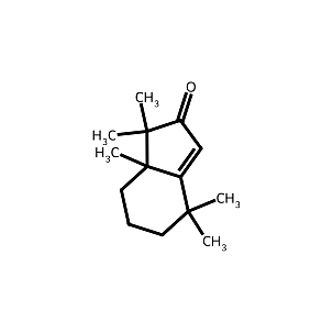 CC1(C)CCCC2(C)C1=CC(=O)C2(C)C